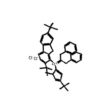 CC1C=C(C(C)(C)C)C=[C]1[Zr+2](=[C](Cc1ccccc1)Cc1ccccc1)[c]1c(C(C)(C)C)ccc2c1Cc1cc(C(C)(C)C)ccc1-2.[Cl-].[Cl-]